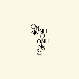 CN(C)c1nc(Nc2ccc(NC(=O)c3csc(-c4cccs4)n3)cc2)nc2ccccc12